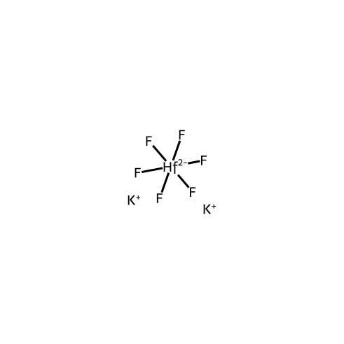 [F][Hf-2]([F])([F])([F])([F])[F].[K+].[K+]